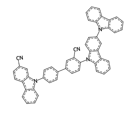 N#Cc1ccc2c3ccccc3n(-c3ccc(-c4ccc(-n5c6ccccc6c6cc(-n7c8ccccc8c8ccccc87)ccc65)c(C#N)c4)cc3)c2c1